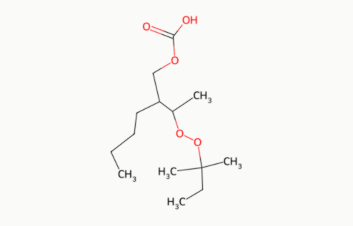 CCCCC(COC(=O)O)C(C)OOC(C)(C)CC